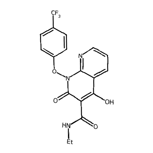 CCNC(=O)c1c(O)c2cccnc2n(Oc2ccc(C(F)(F)F)cc2)c1=O